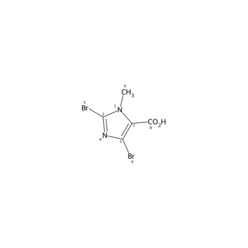 Cn1c(Br)nc(Br)c1C(=O)O